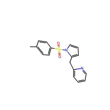 Cc1ccc(S(=O)(=O)n2cccc2Cc2ccccn2)cc1